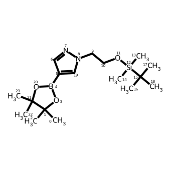 CC1(C)OB(c2cnn(CCO[Si](C)(C)C(C)(C)C)c2)OC1(C)C